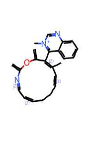 C=C1/N=C\C=C/CC/C=C\C(C)=C(\c2c3ccccc3nc[n+]2C)C(=C)O1